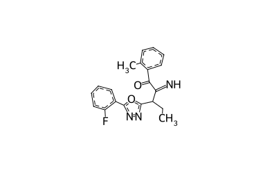 CCC(C(=N)C(=O)c1ccccc1C)c1nnc(-c2ccccc2F)o1